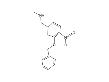 CNCc1ccc([N+](=O)[O-])c(OCc2ccccc2)c1